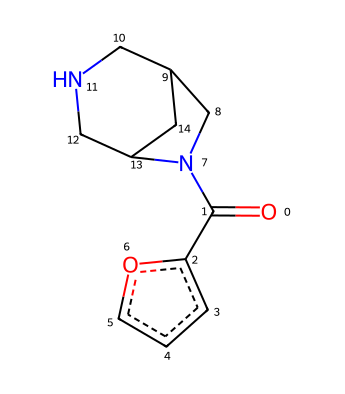 O=C(c1ccco1)N1CC2CNCC1C2